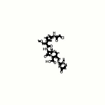 CON=C(C(=O)N[C@@H]1C(=O)N2C(C(=O)O)=C(CSc3nc(=O)cnn3C)CS[C@H]12)c1csc(NC(=O)CCl)n1